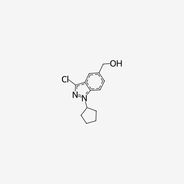 OCc1ccc2c(c1)c(Cl)nn2C1CCCC1